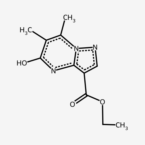 CCOC(=O)c1cnn2c(C)c(C)c(O)nc12